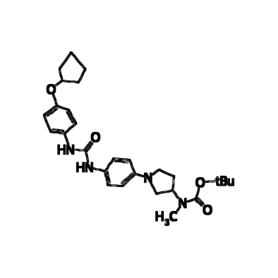 CN(C(=O)OC(C)(C)C)C1CCN(c2ccc(NC(=O)Nc3ccc(OC4CCCC4)cc3)cc2)C1